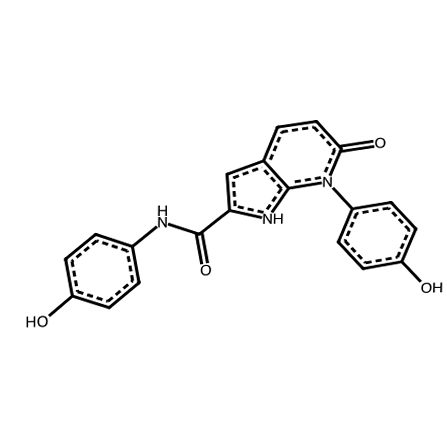 O=C(Nc1ccc(O)cc1)c1cc2ccc(=O)n(-c3ccc(O)cc3)c2[nH]1